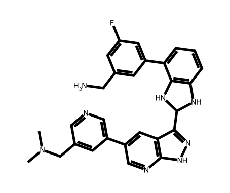 CN(C)Cc1cncc(-c2cnc3[nH]nc(C4Nc5cccc(-c6cc(F)cc(CN)c6)c5N4)c3c2)c1